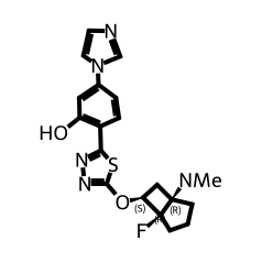 CN[C@@]12CCC[C@]1(F)[C@@H](Oc1nnc(-c3ccc(-n4ccnc4)cc3O)s1)C2